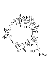 C=C1C[C@@H]2CC[C@@]34C[C@H]5O[C@@H]6[C@@H](OC7CC[C@H](CC(=O)C[C@@H]8[C@@H](C)[C@@H](C[C@H](O)CNC)O[C@H]8C[C@H]8O[C@@H](CC[C@@H]1O2)C[C@@H](C)C8=C)O[C@@H]7[C@@H]6O3)[C@H]5O4